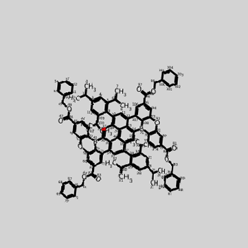 CC(C)c1cc(C(C)C)c(-c2cc3c4c(cc5c(-c6c(C(C)C)cc(C(C)C)cc6C(C)C)cc6c7c(cc2c4c57)B2c4ccc(C(=O)OCc5ccccc5)cc4Oc4cc(C(=O)OCc5ccccc5)cc-6c42)B2c4ccc(C(=O)OCc5ccccc5)cc4Oc4cc(C(=O)OCc5ccccc5)cc-3c42)c(C(C)C)c1